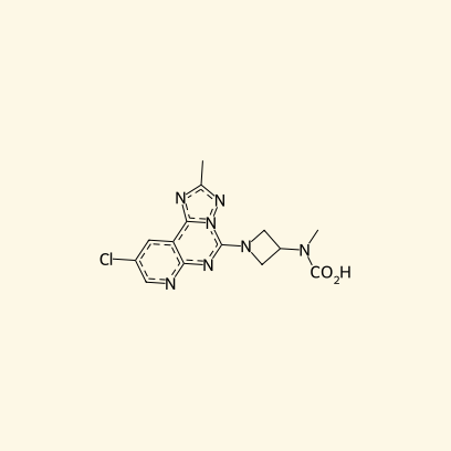 Cc1nc2c3cc(Cl)cnc3nc(N3CC(N(C)C(=O)O)C3)n2n1